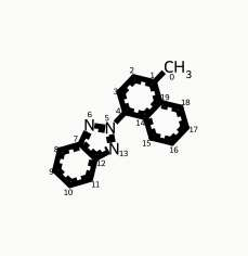 Cc1ccc(-n2nc3ccccc3n2)c2ccccc12